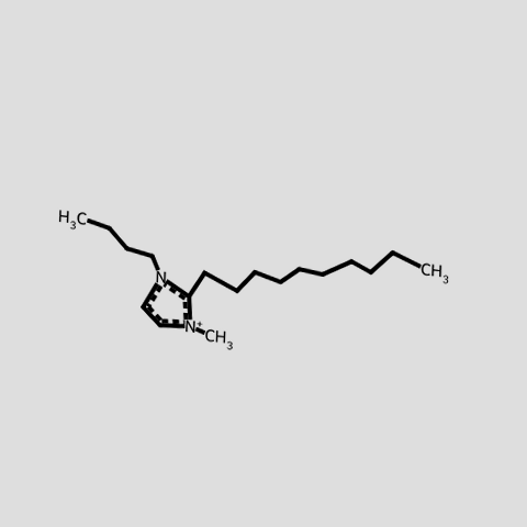 CCCCCCCCCCc1n(CCCC)cc[n+]1C